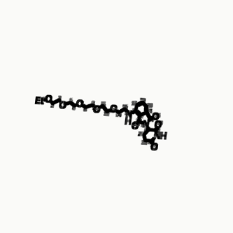 CCOCCOCCOCCOCCOCCNc1cccc2c1C(=O)N(C1CCC(=O)NC1=O)C2=O